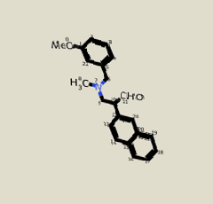 COc1cccc(CN(C)CC(C=O)c2ccc3ccccc3c2)c1